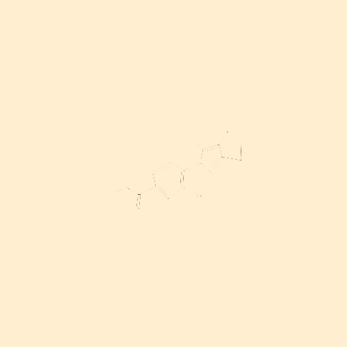 CC(C)(C)NC(=O)c1ccc(-n2nc3c(c2[O-])CSC3)nc1.[Na+]